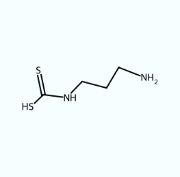 NCCCNC(=S)S